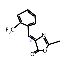 CC1=N/C(=C\c2ccccc2C(F)(F)F)C(=O)O1